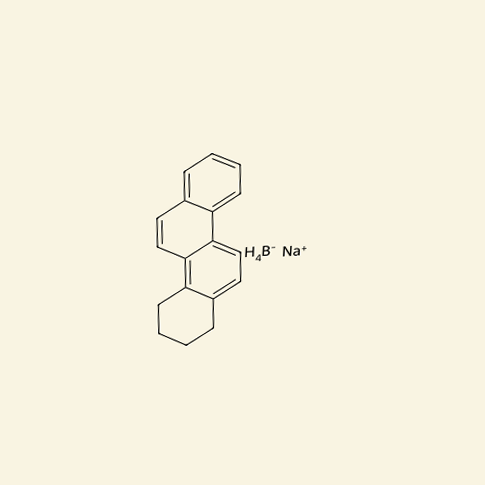 [BH4-].[Na+].c1ccc2c(c1)ccc1c3c(ccc12)CCCC3